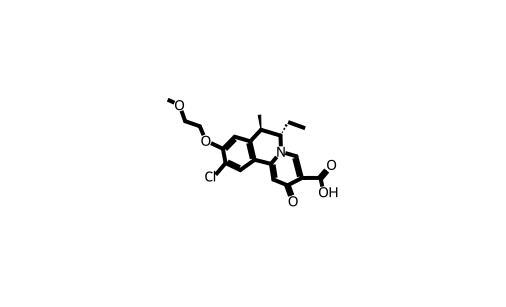 CC[C@H]1[C@H](C)c2cc(OCCOC)c(Cl)cc2-c2cc(=O)c(C(=O)O)cn21